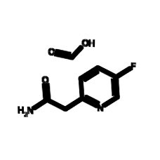 NC(=O)Cc1ccc(F)cn1.O=CO